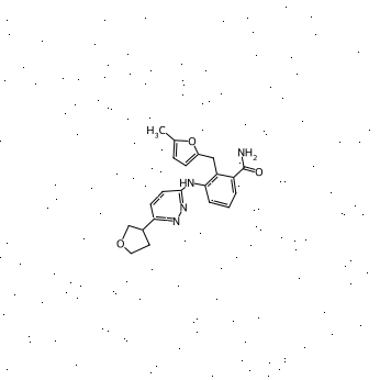 Cc1ccc(Cc2c(Nc3ccc(C4CCOC4)nn3)cccc2C(N)=O)o1